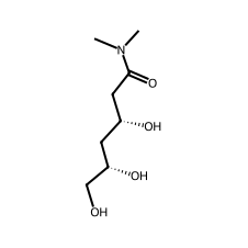 CN(C)C(=O)C[C@H](O)C[C@H](O)CO